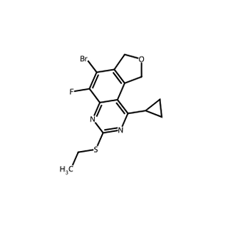 CCSc1nc(C2CC2)c2c3c(c(Br)c(F)c2n1)COC3